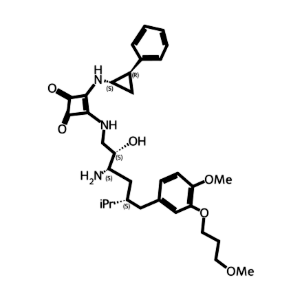 COCCCOc1cc(C[C@@H](C[C@H](N)[C@@H](O)CNc2c(N[C@H]3C[C@@H]3c3ccccc3)c(=O)c2=O)C(C)C)ccc1OC